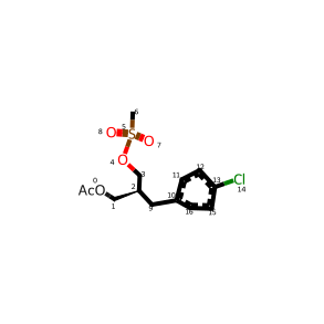 CC(=O)OC[C@@H](COS(C)(=O)=O)Cc1ccc(Cl)cc1